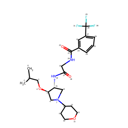 CC(C)CO[C@@H]1CN(C2CCOCC2)C[C@H]1NC(=O)CNC(=O)c1cccc(C(F)(F)F)c1